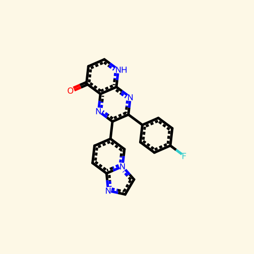 O=c1cc[nH]c2nc(-c3ccc(F)cc3)c(-c3ccc4nccn4c3)nc12